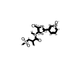 CC(CS(C)(=O)=O)C(=O)N(C)c1sc(-c2ccc[n+]([O-])c2)nc1Cl